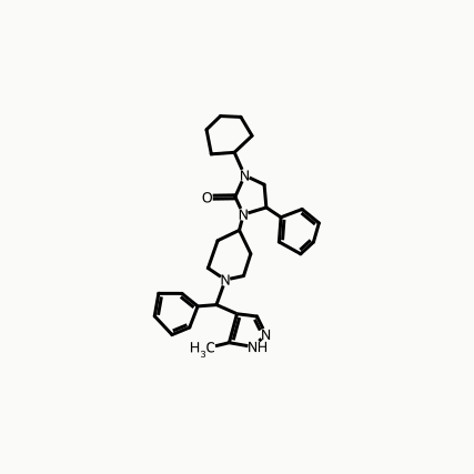 Cc1[nH]ncc1C(c1ccccc1)N1CCC(N2C(=O)N(C3CCCCC3)CC2c2ccccc2)CC1